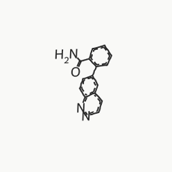 NC(=O)c1ccccc1-c1ccc2nnccc2c1